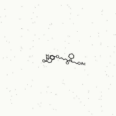 CC(=O)OCCCN(C(=O)CCCCOc1ccc2c(c1)CCC(=O)N2)C1CCCCC1